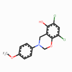 Oc1c(Cl)cc(Cl)c2c1CN(c1ccc(OC(F)(F)F)cc1)CO2